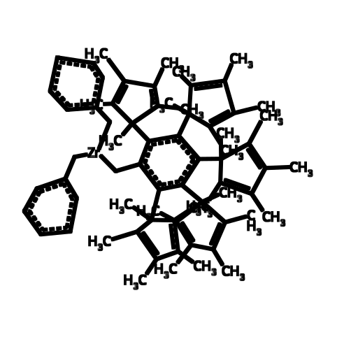 CC1=C(C)C(C)(c2c([CH2][Zr]([CH2]c3ccccc3)[CH2]c3ccccc3)c(C3(C)C(C)=C(C)C(C)=C3C)c(C3(C)C(C)=C(C)C(C)=C3C)c(C3(C)C(C)=C(C)C(C)=C3C)c2C2(C)C(C)=C(C)C(C)=C2C)C(C)=C1C